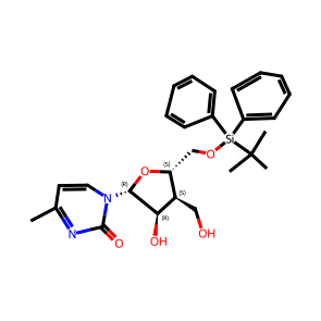 Cc1ccn([C@@H]2O[C@H](CO[Si](c3ccccc3)(c3ccccc3)C(C)(C)C)[C@@H](CO)[C@H]2O)c(=O)n1